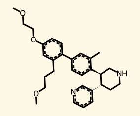 COCCCc1cc(OCCOC)ccc1-c1ccc([C@H]2CNCC[C@@H]2c2cccnc2)c(C)c1